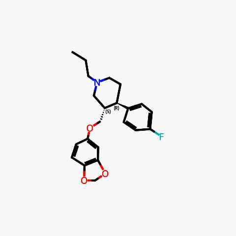 CCCN1CC[C@@H](c2ccc(F)cc2)[C@H](COc2ccc3c(c2)OCO3)C1